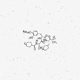 COc1ccc(C[C@H](NC(=O)[C@@H](C)NC(=O)C2CCOCC2)C(=O)N[C@@H](CC2CCCC2)C(=O)[C@]2(C)CO2)cc1O